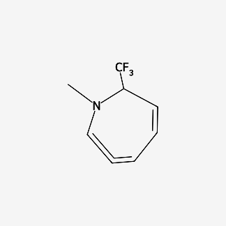 CN1C=C=CC=CC1C(F)(F)F